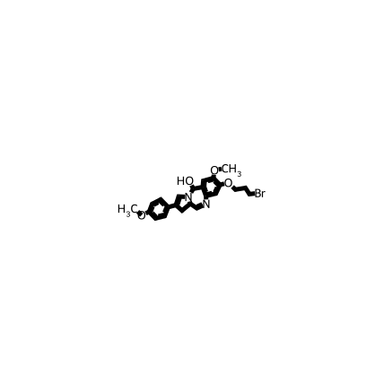 COc1ccc(C2=CN3C(C=Nc4cc(OCCCBr)c(OC)cc4C3O)C2)cc1